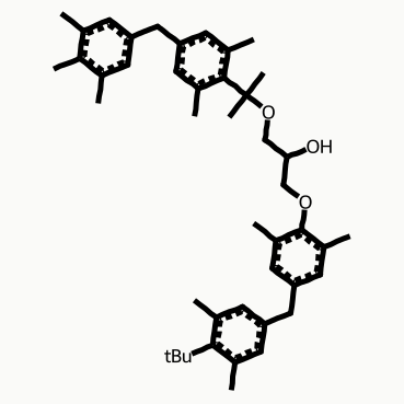 Cc1cc(Cc2cc(C)c(C(C)(C)OCC(O)COc3c(C)cc(Cc4cc(C)c(C(C)(C)C)c(C)c4)cc3C)c(C)c2)cc(C)c1C